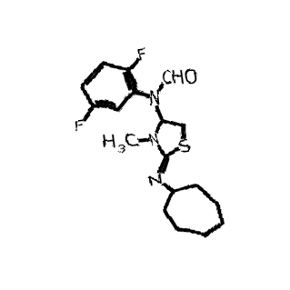 CN1C(=NC2CCCCCC2)SCC1N(C=O)c1cc(F)ccc1F